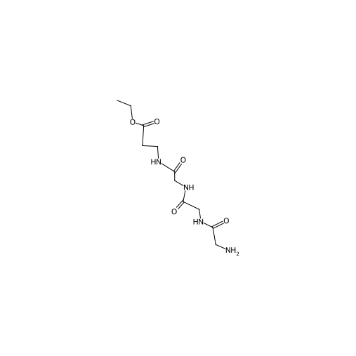 CCOC(=O)CCNC(=O)CNC(=O)CNC(=O)CN